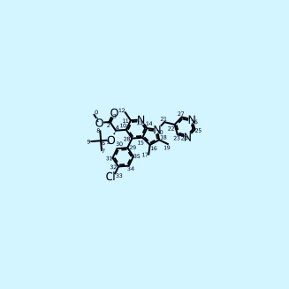 COC(=O)[C@@H](OC(C)(C)C)c1c(C)nc2c(c(C)c(C)n2Cc2cncnc2)c1-c1ccc(Cl)cc1